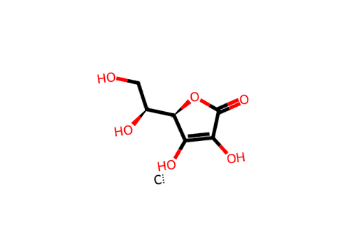 O=C1O[C@H]([C@@H](O)CO)C(O)=C1O.[C]